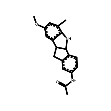 COc1cc(C)c2c(c1)C1Cc3cc(NC(C)=O)ccc3C1N2